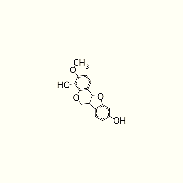 COc1ccc2c(c1O)OCC1c3ccc(O)cc3OC21